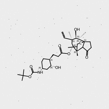 C=C[C@]1(C)C[C@@H](OC(=O)CC[C@@H]2CC[C@@H](NC(=O)OC(C)(C)C)C[C@H]2O)[C@]2(C)C(C)CC[C@]3(CCC(=O)C32)[C@@H](C)[C@@H]1O